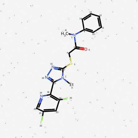 CCn1c(SCC(=O)N(C)c2ccccc2)nnc1-c1ncc(F)cc1F